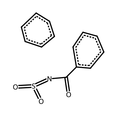 O=C(N=S(=O)=O)c1ccccc1.c1ccccc1